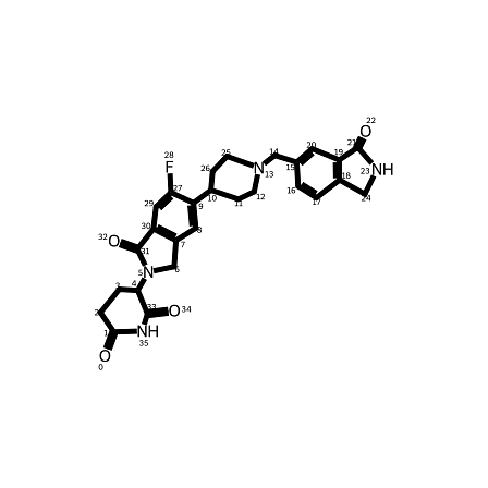 O=C1CCC(N2Cc3cc(C4CCN(Cc5ccc6c(c5)C(=O)NC6)CC4)c(F)cc3C2=O)C(=O)N1